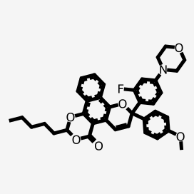 CCCCCC1OC(=O)c2c3c(c4ccccc4c2O1)OC(c1ccc(OC)cc1)(c1ccc(N2CCOCC2)cc1F)C=C3